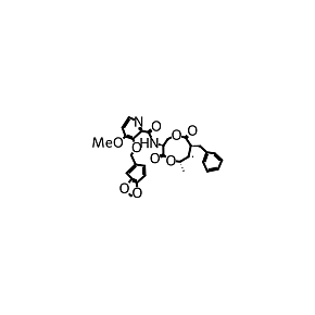 COc1ccnc(C(=O)N[C@H]2COC(=O)[C@@H](Cc3ccccc3)[CH][C@H](C)OC2=O)c1OCc1ccc2c(c1)OCO2